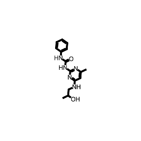 Cc1cc(NCC(C)O)nc(NC(=O)Nc2ccccc2)n1